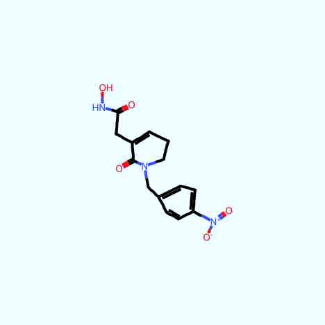 O=C(CC1=CCCN(Cc2ccc([N+](=O)[O-])cc2)C1=O)NO